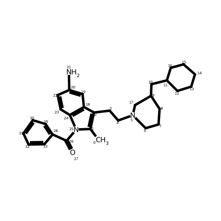 Cc1c(CCN2CCCC(CC3CCCCC3)C2)c2cc(N)ccc2n1C(=O)c1ccccc1